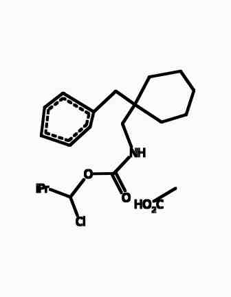 CC(=O)O.CC(C)C(Cl)OC(=O)NCC1(Cc2ccccc2)CCCCC1